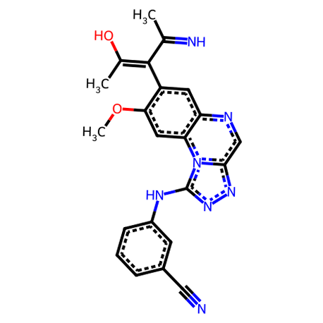 COc1cc2c(cc1/C(C(C)=N)=C(\C)O)ncc1nnc(Nc3cccc(C#N)c3)n12